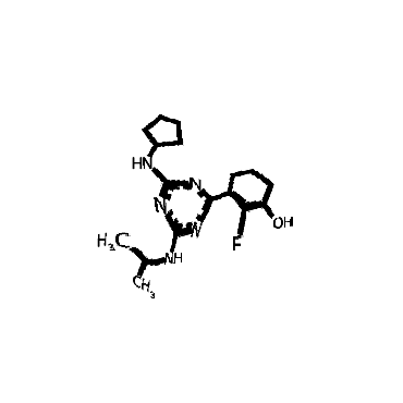 CC(C)Nc1nc(NC2CCCC2)nc(C2=C(F)C(O)CCC2)n1